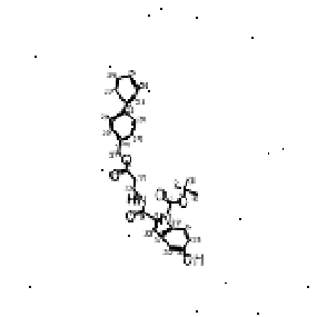 CC(C)(C)OC(=O)n1c(C(=O)NCCC(=O)OCc2ccc(-c3ccccc3)cc2)cc2cc(O)ccc21